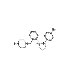 Brc1ccc(N2CCC[C@@H]2c2ccccc2CN2CCNCC2)cc1